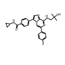 CC(C)(O)CNc1nc(-c2ccc(F)cc2)cn2c(-c3ccc(C(=O)NC4CC4)cc3)cnc12